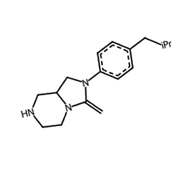 C=C1N(c2ccc(CC(C)C)cc2)CC2CNCCN12